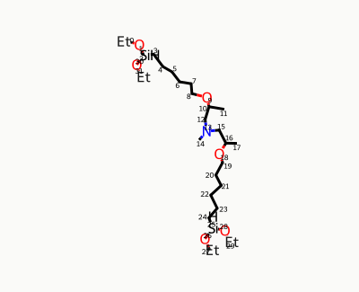 CCO[SiH](CCCCCCOC(C)CN(C)CC(C)OCCCCCC[SiH](OCC)OCC)OCC